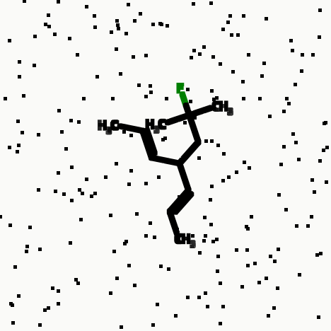 CC=CC(C=CC)CC(C)(C)F